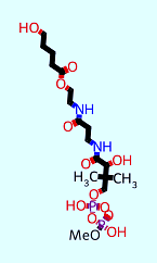 COP(=O)(O)OP(=O)(O)OCC(C)(C)C(O)C(=O)NCCC(=O)NCCOC(=O)CCCCO